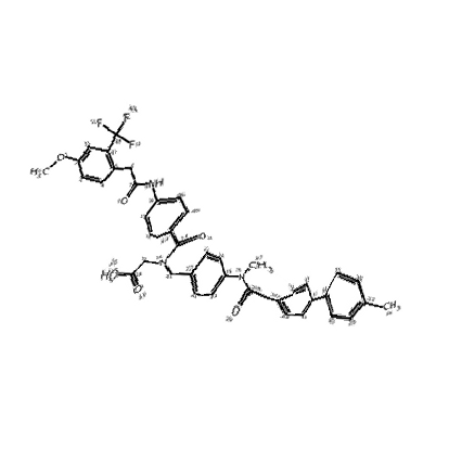 COc1ccc(CC(=O)Nc2ccc(C(=O)N(CC(=O)O)Cc3ccc(N(C)C(=O)c4ccc(-c5ccc(C)cc5)cc4)cc3)cc2)c(C(F)(F)F)c1